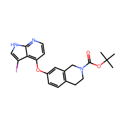 CC(C)(C)OC(=O)N1CCc2ccc(Oc3ccnc4[nH]cc(I)c34)cc2C1